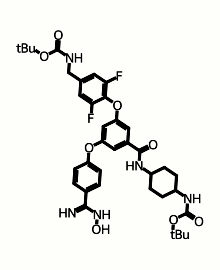 CC(C)(C)OC(=O)NCc1cc(F)c(Oc2cc(Oc3ccc(C(=N)NO)cc3)cc(C(=O)NC3CCC(NC(=O)OC(C)(C)C)CC3)c2)c(F)c1